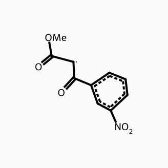 COC(=O)[CH]C(=O)c1cccc([N+](=O)[O-])c1